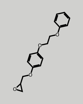 c1ccc(OCCOc2ccc(OCC3CO3)cc2)cc1